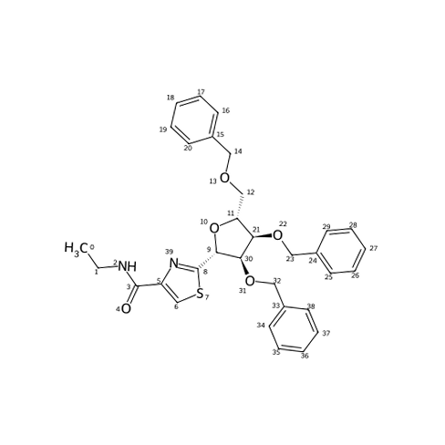 CCNC(=O)c1csc([C@@H]2O[C@H](COCc3ccccc3)[C@@H](OCc3ccccc3)[C@H]2OCc2ccccc2)n1